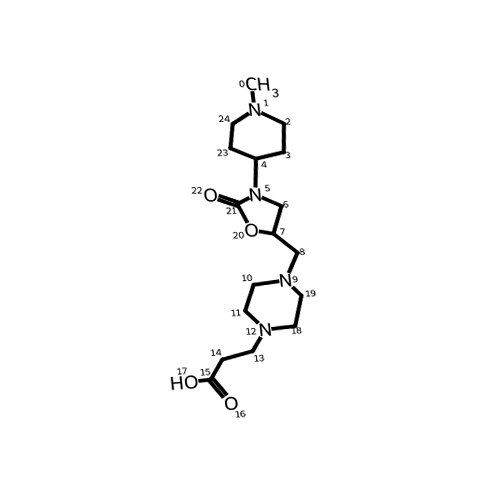 CN1CCC(N2CC(CN3CCN(CCC(=O)O)CC3)OC2=O)CC1